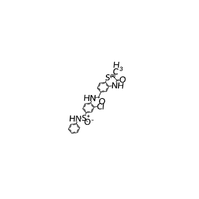 C[C@H]1Sc2ccc(C(=O)Nc3ccc([S+]([O-])Nc4ccccc4)cc3Cl)cc2NC1=O